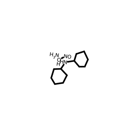 C1CCC(NC2CCCCC2)CC1.N.O=NO